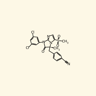 C[C@@]1(Cc2ccc(C#N)cc2)C(=O)N(c2cc(Cl)cc(Cl)c2)c2ncc(S(C)(=O)=O)n21